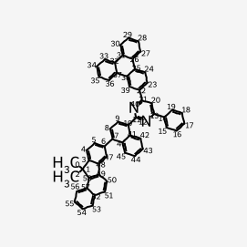 CC1(C)c2ccc(-c3ccc(-c4nc(-c5ccccc5)cc(-c5ccc6c7ccccc7c7ccccc7c6c5)n4)c4ccccc34)cc2-c2ccc3ccccc3c21